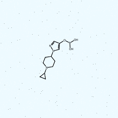 OB(O)Oc1cnn(C2CCN(C3CC3)CC2)c1